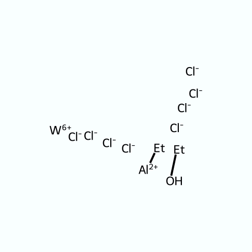 CCO.C[CH2][Al+2].[Cl-].[Cl-].[Cl-].[Cl-].[Cl-].[Cl-].[Cl-].[Cl-].[W+6]